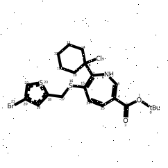 CC(C)(C)OC(=O)C1=CNC(C2(Cl)CCCCC2)=C(SCc2cc(Br)cs2)C=C1